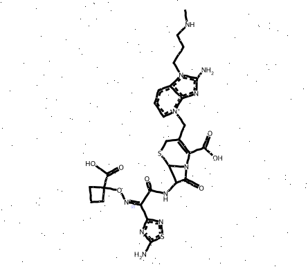 CNCCCn1c(N)nc2c1ccc[n+]2CC1=C(C(=O)O)N2C(=O)C(NC(=O)/C(=N\OC3(C(=O)O)CCC3)c3nsc(N)n3)C2SC1